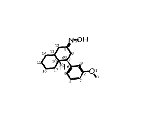 COc1cccc([C@@H]2CC(=NO)CC3CCCC[C@H]32)c1